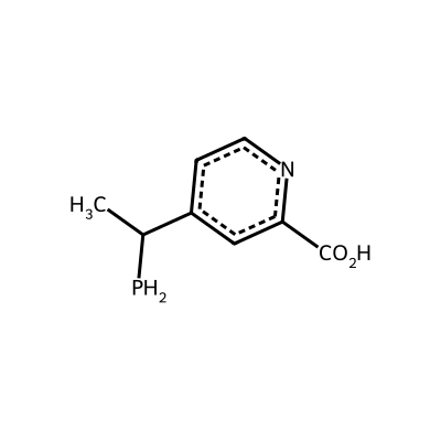 CC(P)c1ccnc(C(=O)O)c1